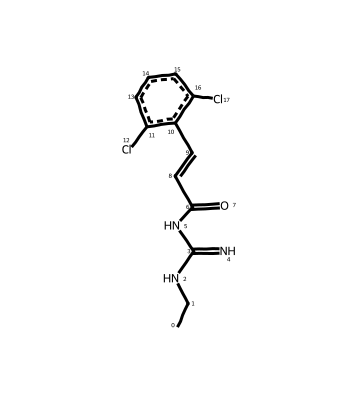 CCNC(=N)NC(=O)C=Cc1c(Cl)cccc1Cl